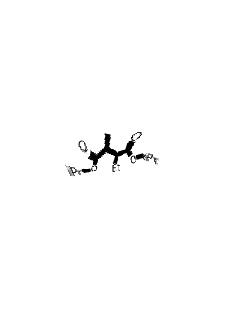 CCC(C(=O)OC(C)C)C(C)C(=O)OC(C)C